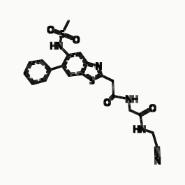 CS(=O)(=O)Nc1cc2nc(CC(=O)NCC(=O)NCC#N)sc2cc1-c1ccccc1